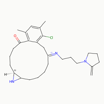 C=C1CCCN1CCC/N=C1\CCCCC2N[C@H]2CCCC(=O)c2c(C)cc(C)c(Cl)c2C1